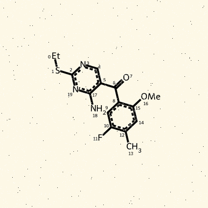 CCSc1ncc(C(=O)c2cc(F)c(C)cc2OC)c(N)n1